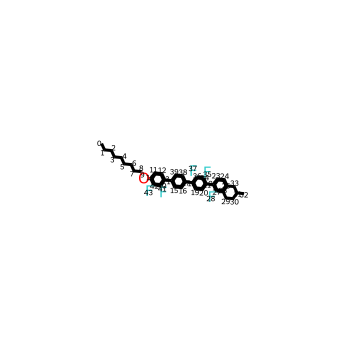 CCCCCCCCCOc1ccc(-c2ccc(-c3ccc(-c4ccc5c(c4F)CCC(C)C5)c(F)c3F)cc2)c(F)c1F